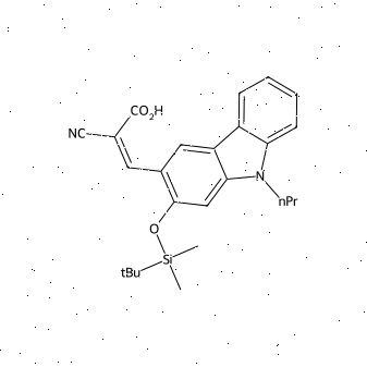 CCCn1c2ccccc2c2cc(C=C(C#N)C(=O)O)c(O[Si](C)(C)C(C)(C)C)cc21